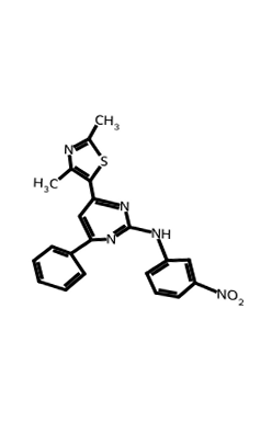 Cc1nc(C)c(-c2cc(-c3ccccc3)nc(Nc3cccc([N+](=O)[O-])c3)n2)s1